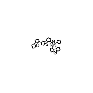 c1ccc(-c2nc(-c3cccc4c3sc3ccc(-c5cccc6c5oc5ccccc56)cc34)nc(-c3cccc4oc5ccccc5c34)n2)cc1